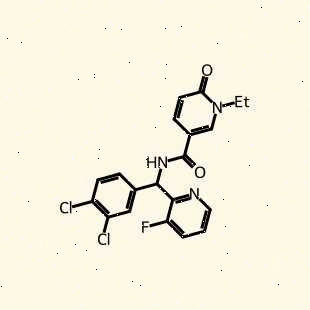 CCn1cc(C(=O)NC(c2ccc(Cl)c(Cl)c2)c2ncccc2F)ccc1=O